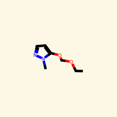 CCOCOc1c[c]nn1C